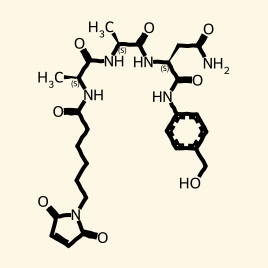 C[C@H](NC(=O)CCCCCN1C(=O)C=CC1=O)C(=O)N[C@@H](C)C(=O)N[C@@H](CC(N)=O)C(=O)Nc1ccc(CO)cc1